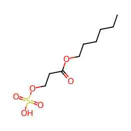 CCCCCCOC(=O)CCOS(=O)(=O)O